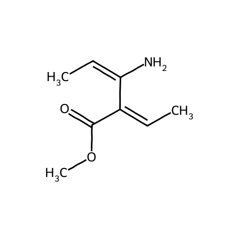 C/C=C(N)\C(=C/C)C(=O)OC